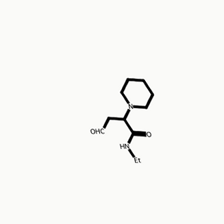 CCNC(=O)C(CC=O)N1CCCCC1